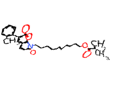 C=C(C)C(=O)OCCCCCCCCCCn1c(=O)ccc2cc(-c3ccccc3C)c(=O)oc21